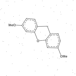 COc1ccc2c(c1)Oc1cc(OC)ccc1[CH]2